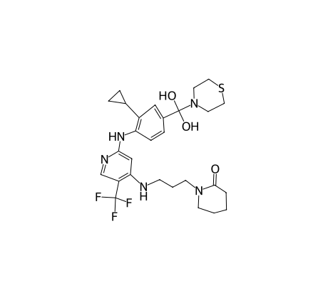 O=C1CCCCN1CCCNc1cc(Nc2ccc(C(O)(O)N3CCSCC3)cc2C2CC2)ncc1C(F)(F)F